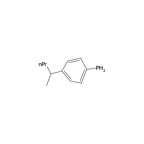 CCCC(C)c1ccc(P)cc1